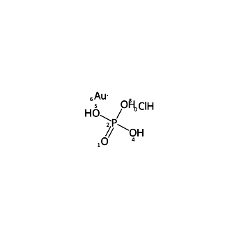 Cl.O=P(O)(O)O.[Au]